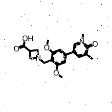 COc1cc(-c2cc(C)c(=O)n(C)c2)cc(OC)c1CN1CC(C(=O)O)C1